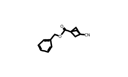 N#CC12CC(C(=O)OCc3ccccc3)(C1)C2